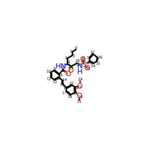 CCCCC(NC(=O)c1ccccc1C=Cc1ccc(OC)c(OC)c1)C(=O)CNS(=O)(=O)c1ccccc1